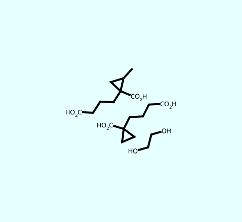 CC1CC1(CCCC(=O)O)C(=O)O.O=C(O)CCCC1(C(=O)O)CC1.OCCO